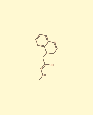 CN/N=C(\S)SC1CC=Nc2ccccc21